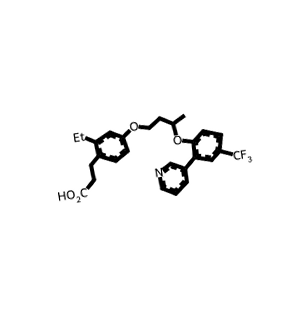 CCc1cc(OCCC(C)Oc2ccc(C(F)(F)F)cc2-c2cccnc2)ccc1CCC(=O)O